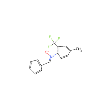 Cc1ccc([N+]([O-])=Cc2ccccc2)c(C(F)(F)F)c1